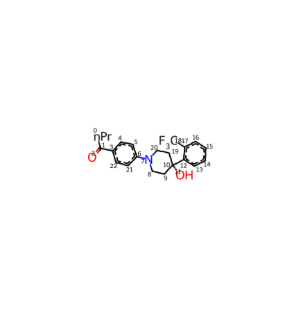 CCCC(=O)c1ccc(N2CCC(O)(c3ccccc3C(F)(F)F)CC2)cc1